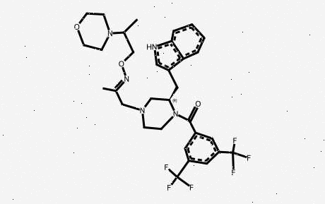 CC(CN1CCN(C(=O)c2cc(C(F)(F)F)cc(C(F)(F)F)c2)[C@H](Cc2c[nH]c3ccccc23)C1)=NOCC(C)N1CCOCC1